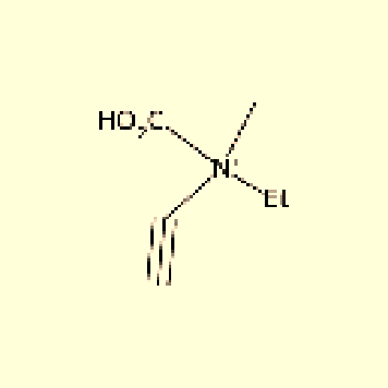 C#C[N+](C)(CC)C(=O)O